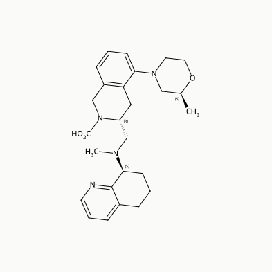 C[C@H]1CN(c2cccc3c2C[C@H](CN(C)[C@H]2CCCc4cccnc42)N(C(=O)O)C3)CCO1